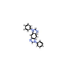 c1ccc(-n2cnc3cc4c(cc32)ncn4-c2ccccc2)cc1